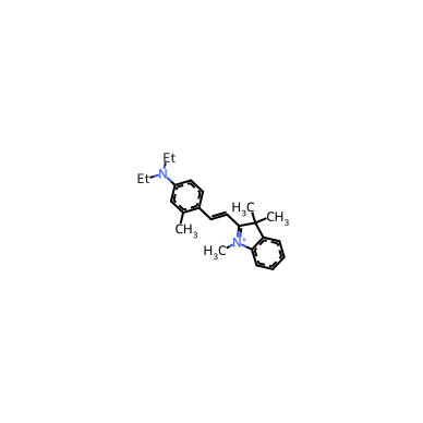 CCN(CC)c1ccc(/C=C/C2=[N+](C)c3ccccc3C2(C)C)c(C)c1